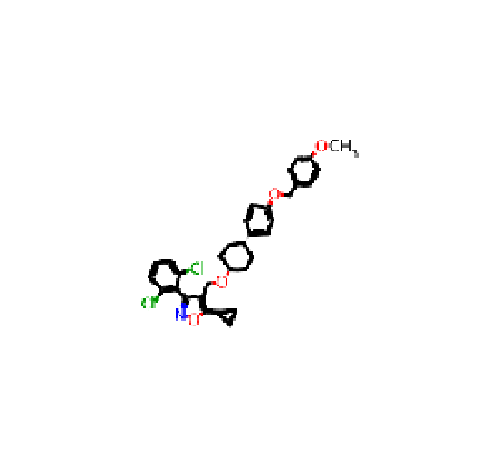 COc1ccc(COc2ccc([C@H]3CC[C@H](OCc4c(-c5c(Cl)cccc5Cl)noc4C4CC4)CC3)cc2)cc1